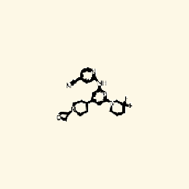 N#Cc1ccnc(Nc2cc(C3CCN(C4COC4)CC3)cc(N3CCCC(F)(F)C3)n2)c1